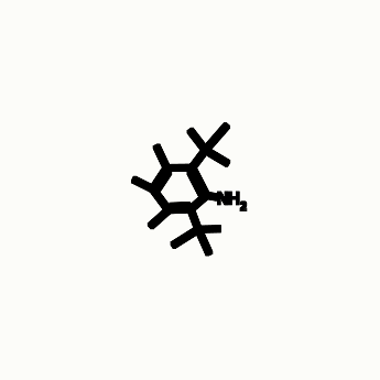 Cc1c(C)c(C(C)(C)C)c(N)c(C(C)(C)C)c1C